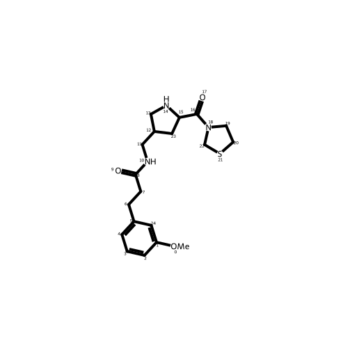 COc1cccc(CCC(=O)NCC2CNC(C(=O)N3CCSC3)C2)c1